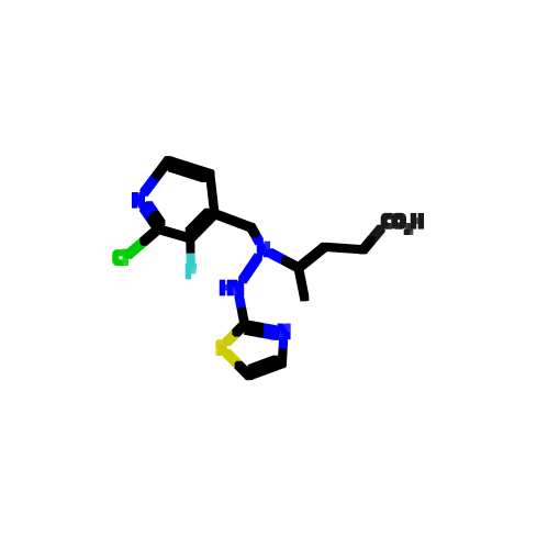 CC(CCC(=O)O)N(Cc1ccnc(Cl)c1F)Nc1nccs1